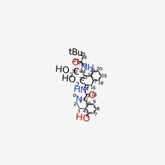 CN1CCc2c(O)cccc2C1C(=O)NC(Cc1ccccc1CC(NC(=O)CC(C)(C)C)C(=O)O)C(=O)O